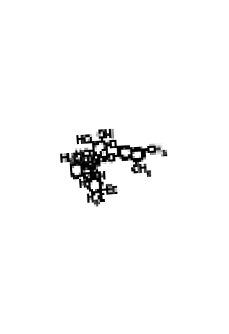 CC[C@@]1(C)CC[C@H]2[C@@H](CC[C@H]3C(C)(C)CCCC23C(=O)OCC2OC(Oc3cc4cc(C)cc(C)c4cc3OC)C(O)C(O)C2O)C1